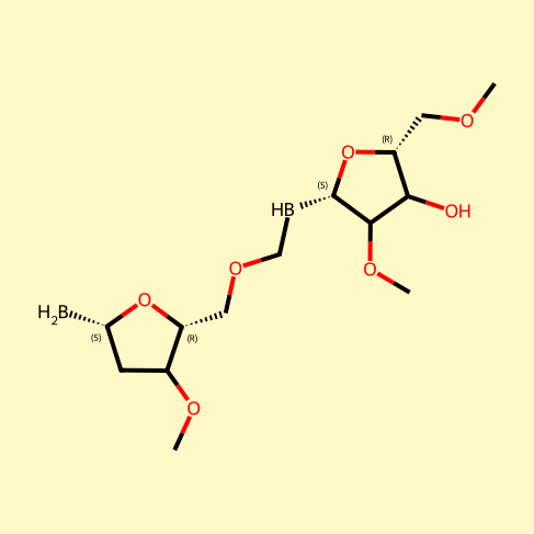 B[C@H]1CC(OC)[C@@H](COCB[C@@H]2O[C@H](COC)C(O)C2OC)O1